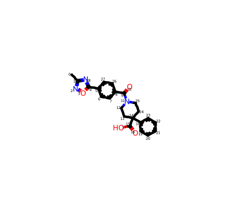 Cc1noc(-c2ccc(C(=O)N3CCC(C(=O)O)(c4ccccc4)CC3)cc2)n1